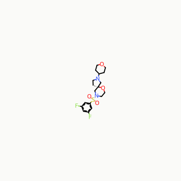 O=S(=O)(c1cc(F)cc(F)c1)N1CCO[C@@]2(CCN(C3CCOCC3)C2)C1